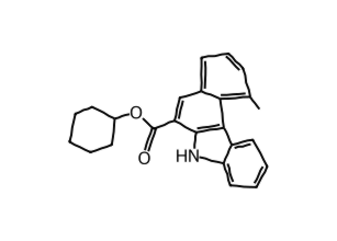 Cc1cccc2cc(C(=O)OC3CCCCC3)c3[nH]c4ccccc4c3c12